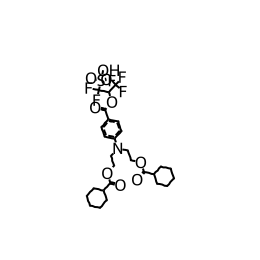 O=C(OC(C(F)(F)F)C(F)(F)S(=O)(=O)O)c1ccc(N(CCOC(=O)C2CCCCC2)CCOC(=O)C2CCCCC2)cc1